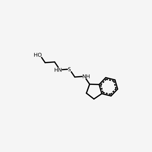 OCCNSCNC1CCc2ccccc21